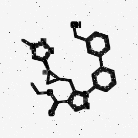 CCOC(=O)c1cnn(-c2cccc(-c3cccc(CO)c3)c2)c1CC1C[C@H]1c1cn(C)nn1